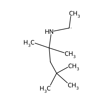 C[CH]NC(C)(C)CC(C)(C)C